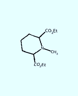 CCOC(=O)C1CCCC(C(=O)OCC)N1C